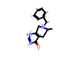 CC1Cc2c([nH]cnc2=O)CN1Cc1ccccc1